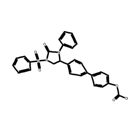 O=C(O)Oc1ccc(-c2ccc(C3CN(S(=O)(=O)c4ccccc4)C(=O)N3c3ccccc3)cc2)cc1